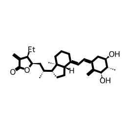 C=C1/C(=C\C=C2/CCC[C@]3(C)[C@@H]([C@H](C)C[C@H]4OC(=O)C(=C)[C@H]4CC)CC[C@@H]23)C[C@@H](O)[C@H](C)[C@@H]1O